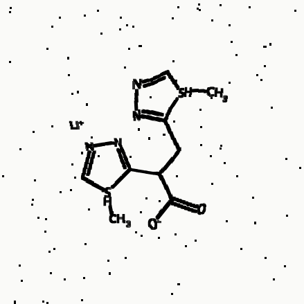 C[SH]1C=NN=C1CC(C(=O)[O-])C1=NN=C[SH]1C.[Li+]